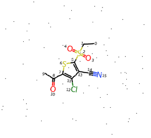 CCS(=O)(=O)c1sc(C(C)=O)c(Cl)c1C#N